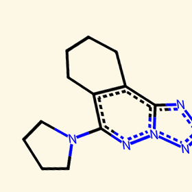 C1CCc2c(c(N3CCCC3)nn3nnnc23)C1